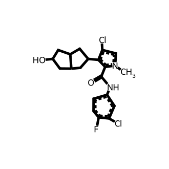 Cn1cc(Cl)c(C2CC3CC(O)CC3C2)c1C(=O)Nc1ccc(F)c(Cl)c1